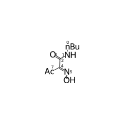 CCCCNC(=O)C(=NO)C(C)=O